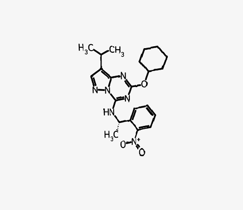 CC(C)c1cnn2c(N[C@@H](C)c3ccccc3[N+](=O)[O-])nc(OC3CCCCC3)nc12